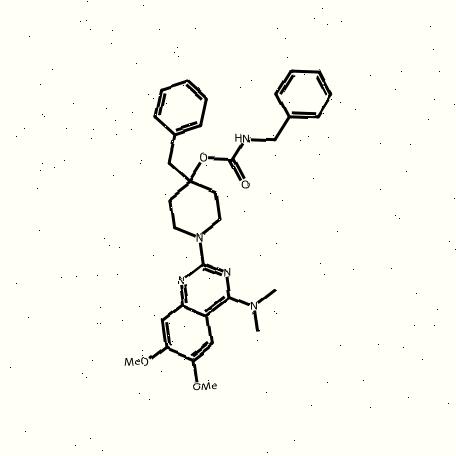 COc1cc2nc(N3CCC(Cc4ccccc4)(OC(=O)NCc4ccccc4)CC3)nc(N(C)C)c2cc1OC